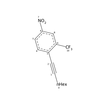 CCCCCCC#Cc1ccc([N+](=O)[O-])cc1C(F)(F)F